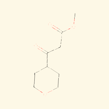 COC(=O)CC(=O)C1CCOCC1